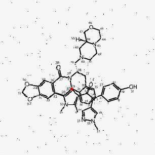 Cc1c(C(=O)N(c2ccc(O)cc2)c2cnn(C)c2)cc(-c2cc3c(cc2C(=O)N2Cc4ccccc4C[C@H]2CN2CCN4CCOC[C@H]4C2)OCO3)n1C